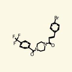 O=C(C=Cc1ccc(Br)cc1)N1CCN(C(=O)c2ccc(C(F)(F)F)cc2)CC1